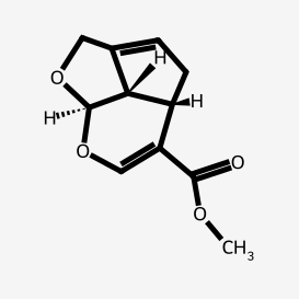 COC(=O)C1=CO[C@H]2OCC3=CC[C@H]1[C@@H]32